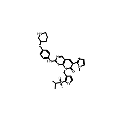 CC(C)S(=O)(=O)c1occc1Cn1c(=O)c(-c2nccn2C)cc2cnc(Nc3ccc(OC4CCCNC4)cc3)nc21